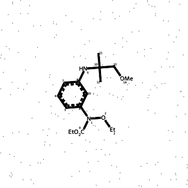 CCOC(=O)N(OCC)c1cccc(NC(C)(C)COC)c1